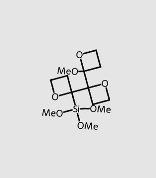 COC1(C2(C3([Si](OC)(OC)OC)CCO3)CCO2)CCO1